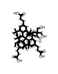 CCCCC(c1c(C(C)(C)C)cc(CCC(=O)O)cc1C(C)(C)C)C(C(=S)OCC(CO)(CO)CO)(c1c(C(C)(C)C)cc(CCC(=O)O)cc1C(C)(C)C)c1c(C(C)(C)C)cc(CCC(=O)O)cc1C(C)(C)C